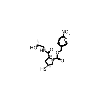 C[C@@H](O)CNC(=O)[C@@H]1C[C@H](S)CN1C(=O)OCc1ccc([N+](=O)[O-])cc1